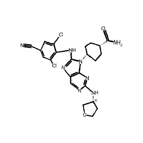 N#Cc1cc(Cl)c(Nc2nc3cnc(N[C@@H]4CCOC4)nc3n2[C@H]2CC[C@@H](C(N)=O)CC2)c(Cl)c1